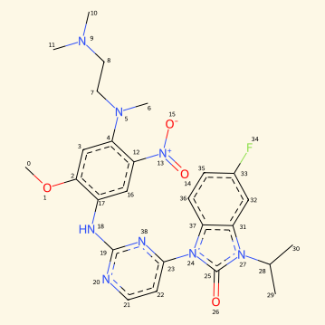 COc1cc(N(C)CCN(C)C)c([N+](=O)[O-])cc1Nc1nccc(-n2c(=O)n(C(C)C)c3cc(F)ccc32)n1